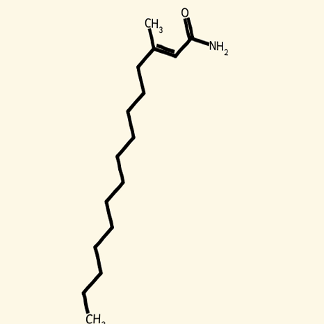 CCCCCCCCCCCCC(C)=CC(N)=O